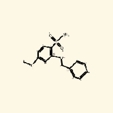 COc1ccc(S(N)(=O)=O)c(OCc2ccccc2)c1